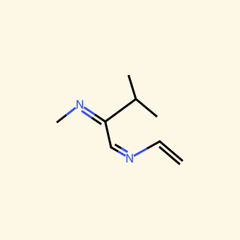 C=C/N=C\C(=N/C)C(C)C